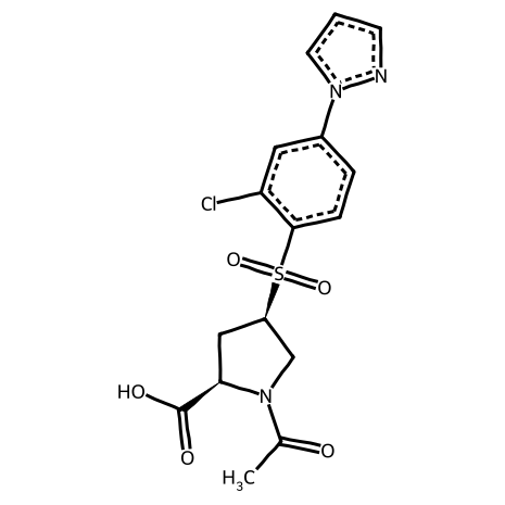 CC(=O)N1C[C@H](S(=O)(=O)c2ccc(-n3cccn3)cc2Cl)C[C@@H]1C(=O)O